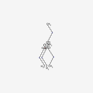 CCCCCCCC/C=C\CCCCCCCC(=O)Oc1cccc(C(N)OC(=O)CCCCCCC/C=C\CCCCCCCC)c1C(=O)N(C(=O)CCCCCCC/C=C\CCCCCCCC)C(=O)CCCCCCC/C=C\CCCCCCCC